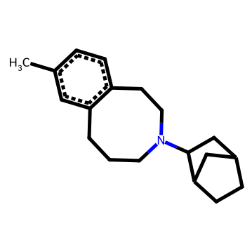 Cc1ccc2c(c1)CCCN(C1CC3CCC1C3)CC2